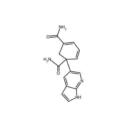 NC(=O)C1=CC=CC(C(N)=O)(c2cnc3[nH]ccc3c2)C1